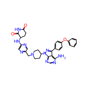 Nc1ncnc2c1c(-c1ccc(Oc3ccccc3)cc1)nn2C1CCN(Cc2cnc(NC3CCC(=O)NC3=O)cn2)CC1